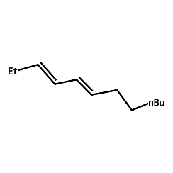 [CH2]CCCCCC=CC=CCC